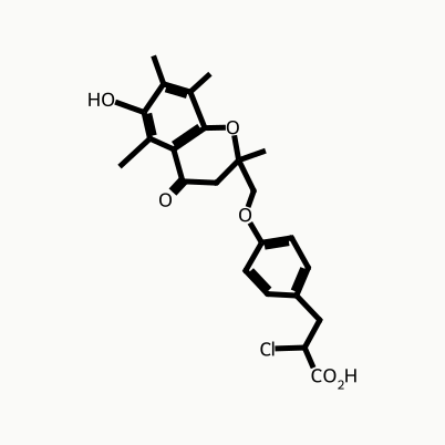 Cc1c(C)c2c(c(C)c1O)C(=O)CC(C)(COc1ccc(CC(Cl)C(=O)O)cc1)O2